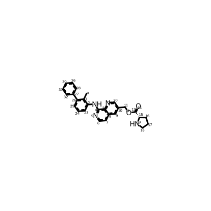 Cc1c(Nc2nccc3cc(COC(=O)[C@@H]4CCCN4)cnc23)cccc1-c1ccccc1